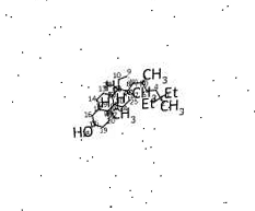 CCC(C)(CC)CC[C@@H](C)[C@H]1CC[C@H]2[C@@H]3CC=C4C[C@@H](O)CC[C@]4(C)[C@H]3CC[C@]12C